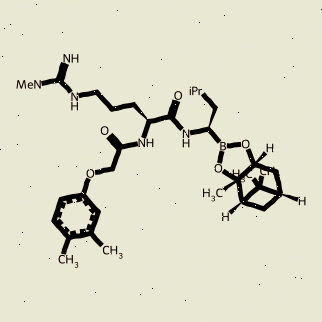 CNC(=N)NCCC[C@H](NC(=O)COc1ccc(C)c(C)c1)C(=O)N[C@@H](CC(C)C)B1O[C@@H]2C[C@@H]3C[C@@H](C3(C)C)[C@]2(C)O1